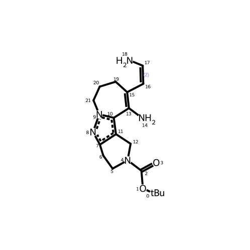 CC(C)(C)OC(=O)N1CCc2nn3c(c2C1)C(N)=C(/C=C\N)CCC3